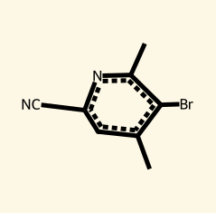 Cc1cc(C#N)nc(C)c1Br